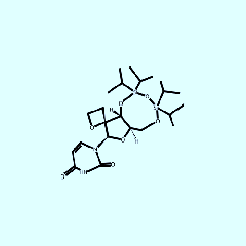 CC(C)[Si]1(C(C)C)OC[C@H]2O[C@@H](n3ccc(=O)[nH]c3=O)[C@@]3(CCO3)[C@@H]2O[Si](C(C)C)(C(C)C)O1